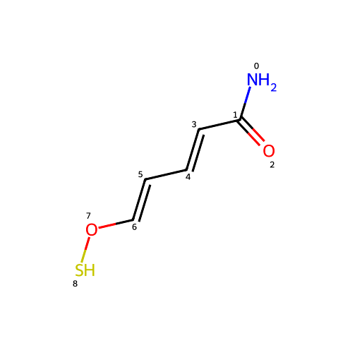 NC(=O)C=CC=COS